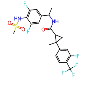 CC(NC(=O)C1CC1(C)c1ccc(C(F)(F)F)c(F)c1)c1cc(F)c(NS(C)(=O)=O)c(F)c1